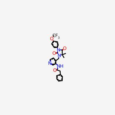 CC1(C)C(=O)N(c2ccc(OC(F)(F)F)cc2)C(=O)N1Cc1ccncc1NC(=O)Cc1ccccc1